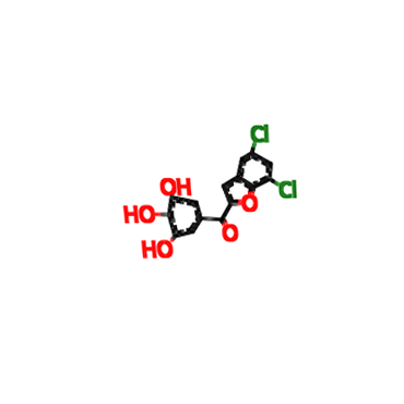 O=C(c1cc(O)c(O)c(O)c1)c1cc2cc(Cl)cc(Cl)c2o1